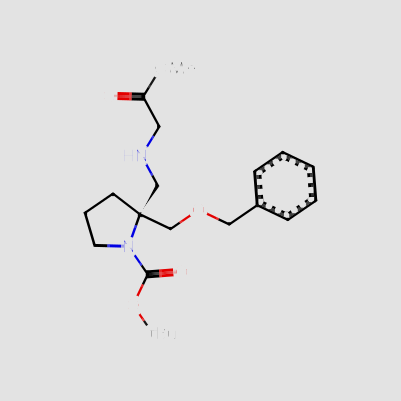 COC(=O)CNC[C@]1(COCc2ccccc2)CCCN1C(=O)OC(C)(C)C